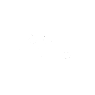 Cc1ncc(-c2ccc(OCCc3cccc(Cl)c3)cn2)c(N2CCC(C)(C)CC2)c1CC(=O)O